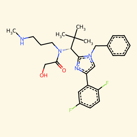 CNCCCN(C(=O)CO)[C@@H](c1nc(-c2cc(F)ccc2F)cn1Cc1ccccc1)C(C)(C)C